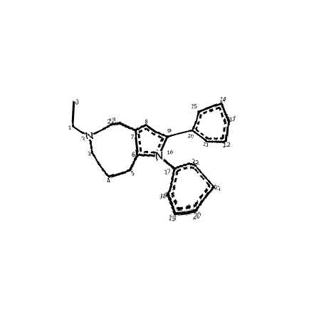 CCN1CCCc2c(cc(-c3ccccc3)n2-c2ccccc2)C1